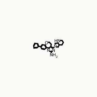 Nc1nc2c(c(N3CC4CCCNC4C3)n1)CCOc1cc(-c3ccccc3)ccc1-2